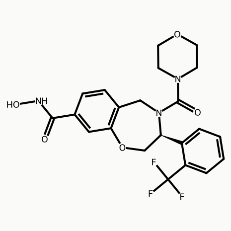 O=C(NO)c1ccc2c(c1)OC[C@H](c1ccccc1C(F)(F)F)N(C(=O)N1CCOCC1)C2